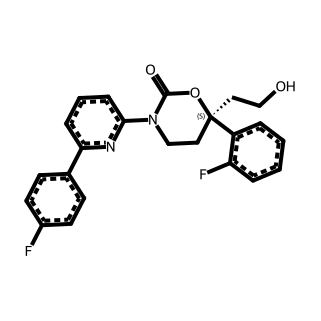 O=C1O[C@@](CCO)(c2ccccc2F)CCN1c1cccc(-c2ccc(F)cc2)n1